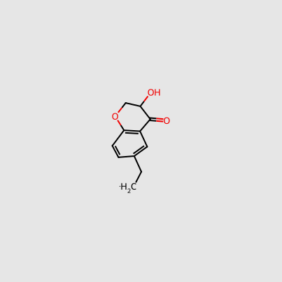 [CH2]Cc1ccc2c(c1)C(=O)C(O)CO2